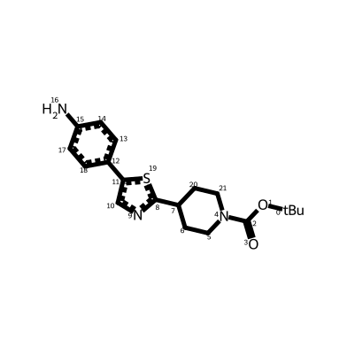 CC(C)(C)OC(=O)N1CCC(c2ncc(-c3ccc(N)cc3)s2)CC1